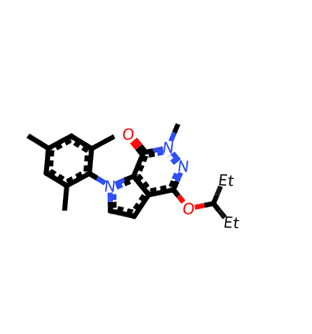 CCC(CC)Oc1nn(C)c(=O)c2c1ccn2-c1c(C)cc(C)cc1C